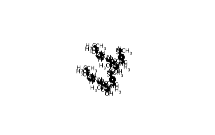 Cc1ncsc1-c1ccc([C@H](C)NC(=O)[C@@H]2C[C@@H](O)CN2C(=O)C(c2cc(N3C[C@H]4CN(C(=O)OC(C)(C)C)CC[C@H]4C3)no2)C(C)C)cc1.Cc1ncsc1-c1ccc([C@H](C)NC(=O)[C@@H]2C[C@@H](O)CN2C(=O)[C@@H](c2cc(N3C[C@H]4CN(C(=O)OC(C)(C)C)CC[C@H]4C3)no2)C(C)C)cc1